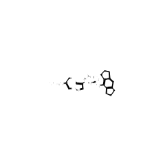 CNC1=Cn2ncc(S(N)(=O)=NC(=O)Nc3c4c(cc5c3CCC5)CCC4)c2OC1